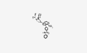 CCN1C[C@@H](c2nc(-c3ccc(C(=O)Nc4ccccn4)cc3)c3c(N)nccn23)CC[C@@H]1C(F)F